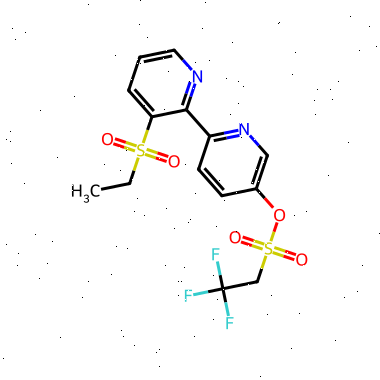 CCS(=O)(=O)c1cccnc1-c1ccc(OS(=O)(=O)CC(F)(F)F)cn1